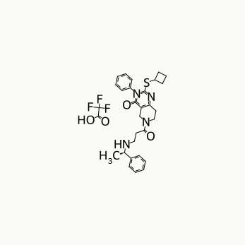 C[C@@H](NCCC(=O)N1CCc2nc(SC3CCC3)n(-c3ccccc3)c(=O)c2C1)c1ccccc1.O=C(O)C(F)(F)F